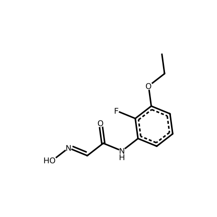 CCOc1cccc(NC(=O)/C=N/O)c1F